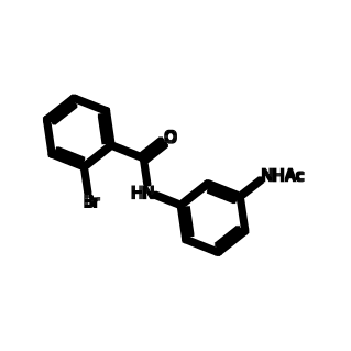 CC(=O)Nc1cccc(NC(=O)c2ccccc2Br)c1